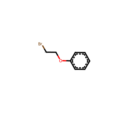 Br[CH]COc1ccccc1